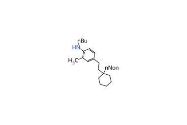 CCCCCCCCCC1(CCc2ccc(NCCCC)c(C)c2)CCCCC1